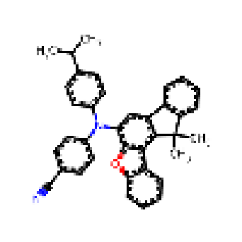 CC(C)c1ccc(N(c2ccc(C#N)cc2)c2cc3c(c4c2oc2ccccc24)C(C)(C)c2ccccc2-3)cc1